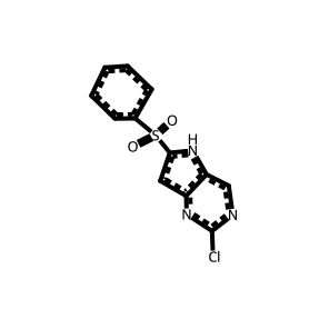 O=S(=O)(c1ccccc1)c1cc2nc(Cl)ncc2[nH]1